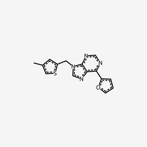 Cc1csc(Cn2cnc3c(-c4ccco4)ncnc32)c1